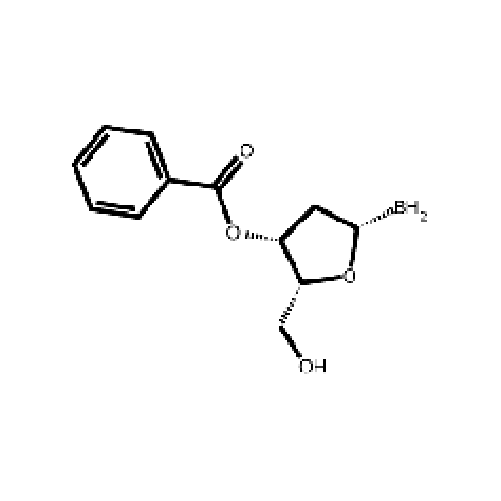 B[C@H]1C[C@@H](OC(=O)c2ccccc2)[C@@H](CO)O1